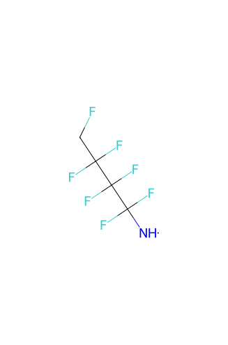 [NH]C(F)(F)C(F)(F)C(F)(F)CF